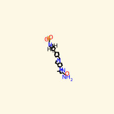 Cc1cc(C(N)=O)nn1-c1ccc2c(ccn2Cc2ccc([C@H]3C[C@@H]4CN(CCS(C)(=O)=O)C[C@@H]4C3)cc2)c1